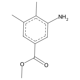 COC(=O)c1cc(C)c(C)c(N)c1